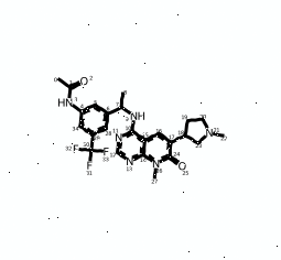 CC(=O)Nc1cc(C(C)Nc2ncnc3c2cc(C2CCN(C)C2)c(=O)n3C)cc(C(F)(F)F)c1